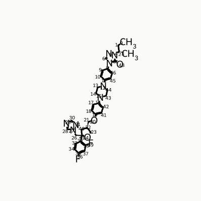 CC[C@H](C)n1ncn(-c2ccc(N3CCN(c4ccc(OC[C@H]5CO[C@](Cn6cncn6)(c6ccc(F)cc6F)C5)cc4)CC3)cc2)c1=O